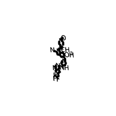 C[C@@H](Cn1c(C#N)cc2cc(CN3CCC(Nc4ncnc5sc(CC(F)(F)F)cc45)CC3)c(O)cc21)N1CCN(C=O)CC1